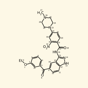 CCOc1cccc(C(=O)c2ccc3[nH]nc(NC(=O)c4ccc(N5CCN(C)CC5)cc4[N+](=O)[O-])c3c2)c1